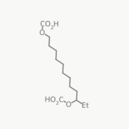 CCC(CCCCCCCCCOC(=O)O)OC(=O)O